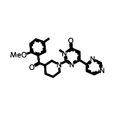 COc1ccc(C)cc1C(=O)C1CCCN(c2nc(-c3ccncn3)cc(=O)n2C)C1